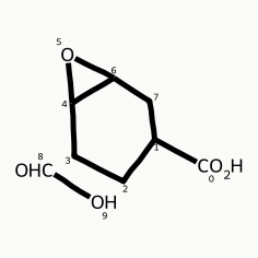 O=C(O)C1CCC2OC2C1.O=CO